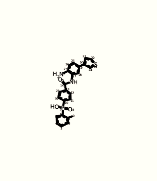 Cc1ccccc1P(=O)(O)c1ccc(C(=O)Nc2cc(-c3ccsc3)ccc2N)cc1